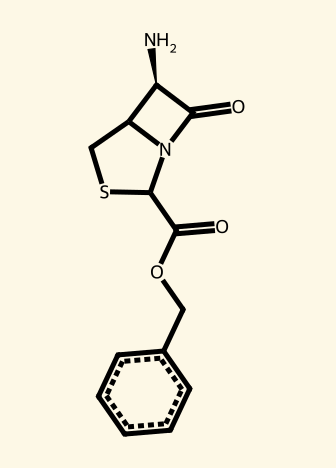 N[C@H]1C(=O)N2C(C(=O)OCc3ccccc3)SCC12